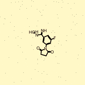 N=C(NO)c1cc(F)cc(N2C(=O)CCC2=O)c1